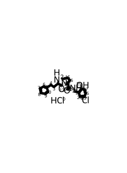 Cl.NC(CCc1ccccc1)C(=O)N1CCCC1C(=O)NCc1cc(Cl)ccc1O